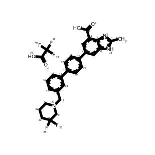 Cc1nc2c(C(=O)O)cc(-c3ccc(-c4cccc(CN5CCCC(F)(F)C5)c4)cc3)cc2[nH]1.O=C(O)C(F)(F)F